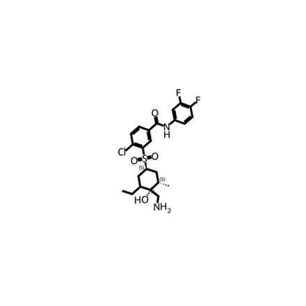 CCC1C[C@@H](S(=O)(=O)c2cc(C(=O)Nc3ccc(F)c(F)c3)ccc2Cl)C[C@H](C)[C@@]1(O)CN